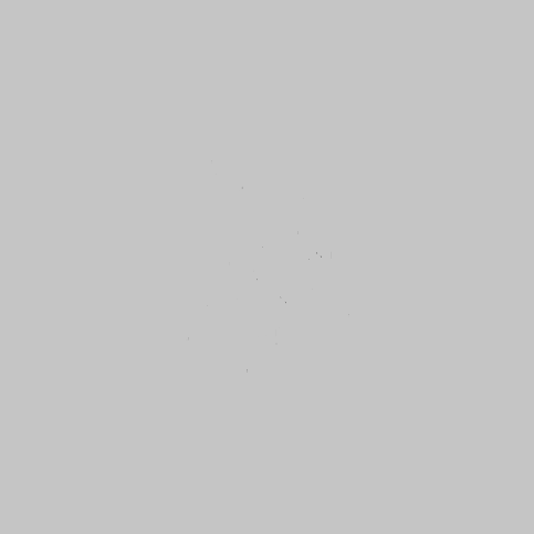 CCN1C(=O)Nc2ccc(Cl)cc2C1(C)c1ccccc1